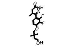 CC1CC(=O)NN=C1c1ccc(OCC(C)(C)CCO)c(F)c1F